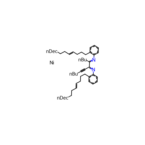 CCCCC#CC(=Nc1ccccc1CCCC=CCCCCCCCCCCCC)C(CCCC)=Nc1ccccc1CCCC=CCCCCCCCCCCCC.[Ni]